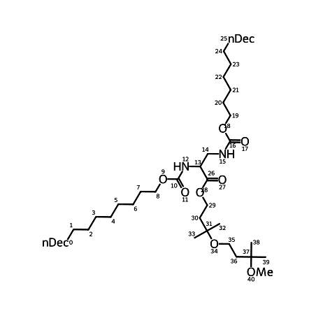 CCCCCCCCCCCCCCCCCCOC(=O)NC(CNC(=O)OCCCCCCCCCCCCCCCC)C(=O)OCCC(C)(C)OCCC(C)(C)OC